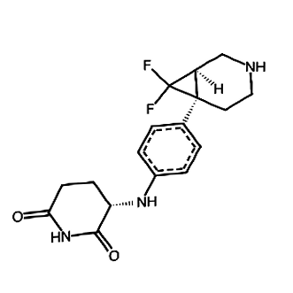 O=C1CC[C@H](Nc2ccc([C@@]34CCNC[C@@H]3C4(F)F)cc2)C(=O)N1